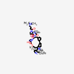 CCn1c(-c2cccnc2[C@H](C)OC)c2c3cc(ccc31)-c1cccc(c1)C[C@H](NC(=O)[C@H](C(C)C)N(C)C(=O)C1(O)CCN(C(=O)/C=C/CN(C)C)C1)C(=O)N1CCC[C@@](O)(N1)C(=O)OCC(C)(C)C2